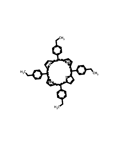 CCc1ccc(-c2c3nc(c(-c4ccc(CC)cc4)c4ccc([nH]4)c(-c4ccc(CC)cc4)c4nc(c(-c5ccc(CC)cc5)c5ccc2[nH]5)C=C4)C=C3)cc1